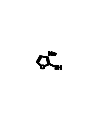 Sc1ccco1.[Na]